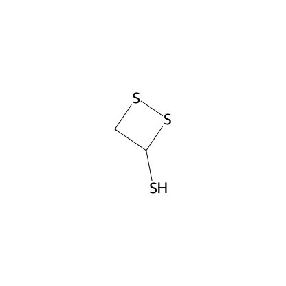 SC1CSS1